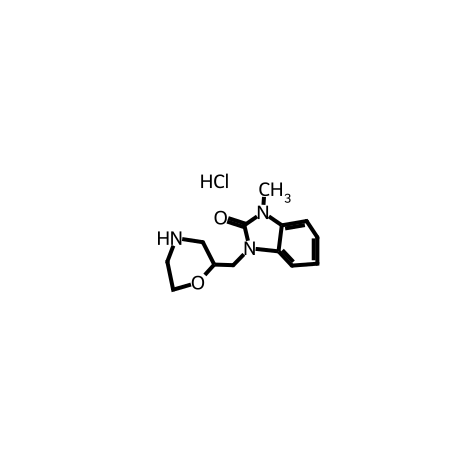 Cl.Cn1c(=O)n(CC2CNCCO2)c2ccccc21